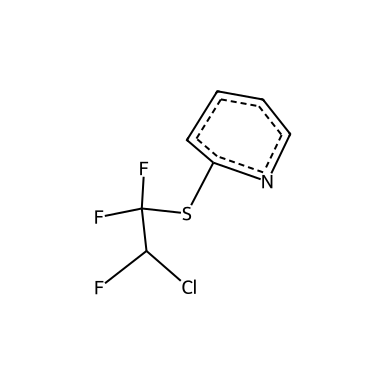 FC(Cl)C(F)(F)Sc1ccccn1